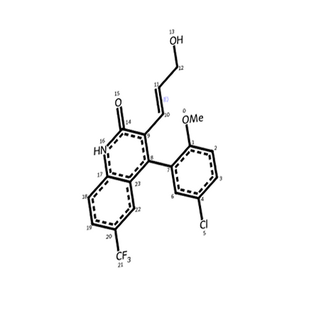 COc1ccc(Cl)cc1-c1c(/C=C/CO)c(=O)[nH]c2ccc(C(F)(F)F)cc12